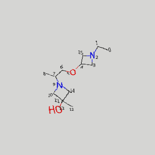 CCN1CC(OCC(C)N2CC(C)(O)C2)C1